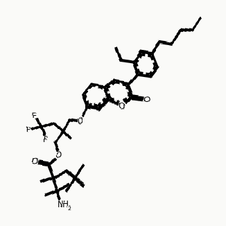 CCCCCc1ccc(-c2cc3ccc(OCC(C)(COC(=O)C(C)(CC(C)(C)C)C(C)(C)N)CC(F)(F)F)cc3oc2=O)c(CC)c1